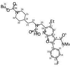 CCc1cc2c(C(=O)NC)c(-c3ccc(F)cc3)oc2nc1CN(CCC1CCN(C(=O)OC(C)(C)C)CC1)[SH](=O)=O